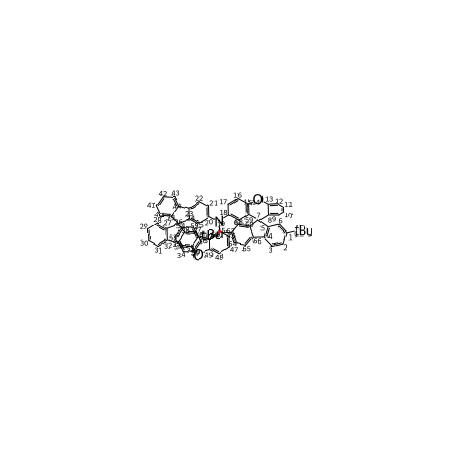 CC(C)(C)c1ccc2c(c1)C1(c3ccccc3Oc3ccc(N(c4ccc5c(c4)C4(c6ccccc6-c6ccccc64)c4ccccc4-5)c4cccc5oc6ccccc6c45)cc31)c1cc(C(C)(C)C)ccc1-2